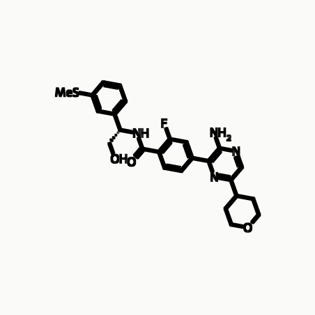 CSc1cccc([C@@H](CO)NC(=O)c2ccc(-c3nc(C4CCOCC4)cnc3N)cc2F)c1